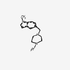 CC(C)N1CCN(Cc2ccc3c(ccn3C)c2)CC1